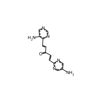 Nc1cnc(/C=C/C(=O)/C=C/c2ncncc2N)nc1